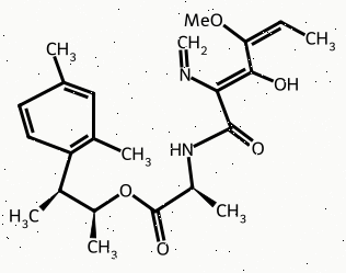 C=N/C(C(=O)N[C@@H](C)C(=O)O[C@@H](C)[C@@H](C)c1ccc(C)cc1C)=C(O)\C(=C/C)OC